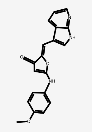 COc1ccc(NC2=CC(=O)C(=Cc3c[nH]c4ncccc34)O2)cc1